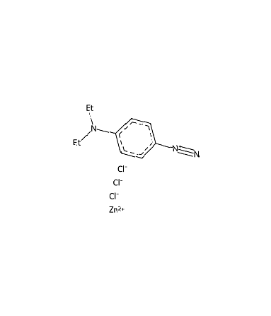 CCN(CC)c1ccc([N+]#N)cc1.[Cl-].[Cl-].[Cl-].[Zn+2]